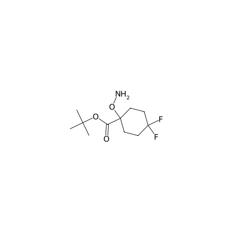 CC(C)(C)OC(=O)C1(ON)CCC(F)(F)CC1